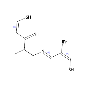 CC(C/N=C/C(=C\S)C(C)C)C(=N)/C=C\S